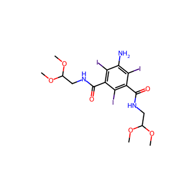 COC(CNC(=O)c1c(I)c(N)c(I)c(C(=O)NCC(OC)OC)c1I)OC